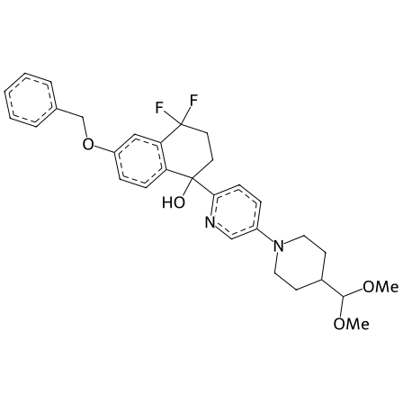 COC(OC)C1CCN(c2ccc(C3(O)CCC(F)(F)c4cc(OCc5ccccc5)ccc43)nc2)CC1